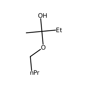 CCCCOC(C)(O)CC